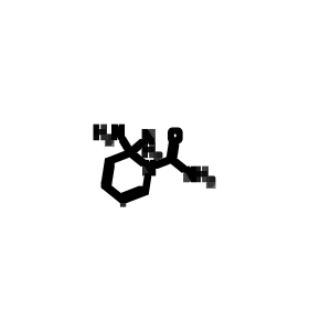 NC(=O)N1C=[C]C=CC1(N)N